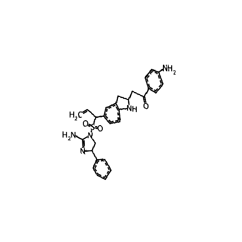 C=CC(c1ccc2c(c1)CC(CC(=O)c1ccc(N)cc1)N2)S(=O)(=O)N1CC(c2ccccc2)N=C1N